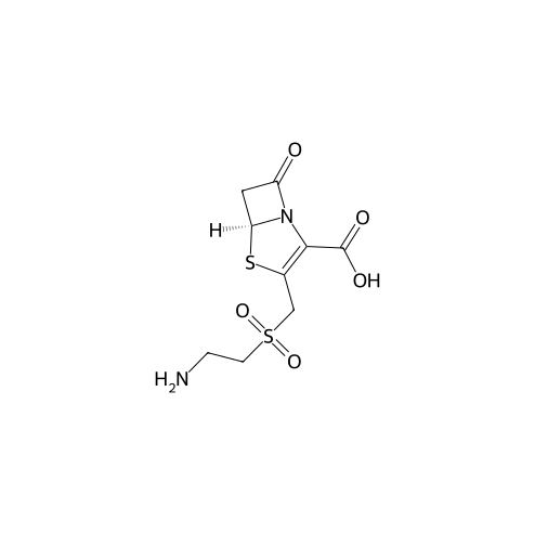 NCCS(=O)(=O)CC1=C(C(=O)O)N2C(=O)C[C@@H]2S1